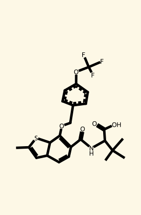 CC1=CC2C=CC(C(=O)NC(C(=O)O)C(C)(C)C)=C(OCc3ccc(OC(F)(F)F)cc3)C2S1